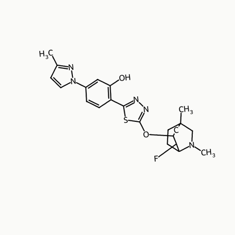 Cc1ccn(-c2ccc(-c3nnc(OC4CC5(C)CCC(C4F)N(C)C5)s3)c(O)c2)n1